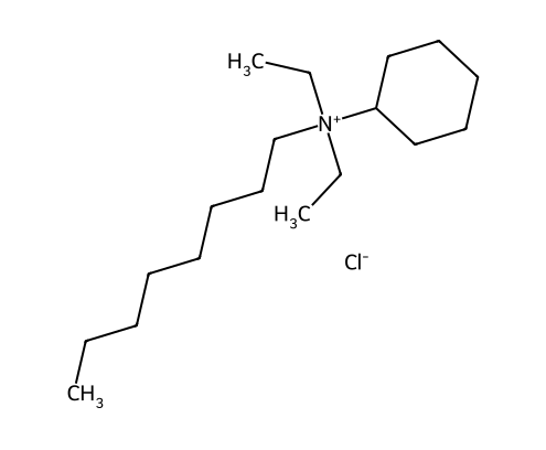 CCCCCCCC[N+](CC)(CC)C1CCCCC1.[Cl-]